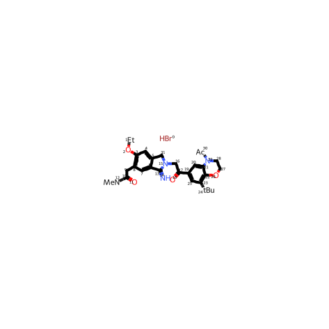 Br.CCOc1cc2c(cc1CC(=O)NC)C(=N)N(CC(=O)c1cc3c(c(C(C)(C)C)c1)OCCN3C(C)=O)C2